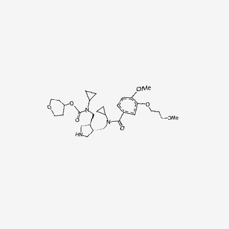 COCCCOc1cc(C(=O)N(C[C@@H]2CNC[C@H]2CN(C(=O)OC2CCOCC2)C2CC2)C2CC2)ccc1OC